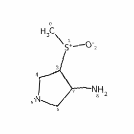 C[S+]([O-])C1C[N]CC1N